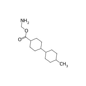 CC1CCC(C2CCC(C(=O)OCN)CC2)CC1